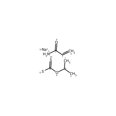 C=CC(N)=O.CC(C)OC(=S)[S-].[Na+]